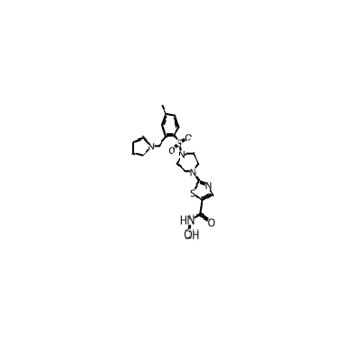 Cc1ccc(S(=O)(=O)N2CCN(c3ncc(C(=O)NO)s3)CC2)c(CN2CCCC2)c1